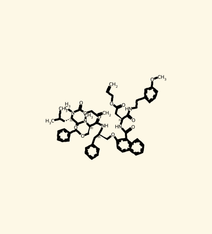 C=CCOC(=O)C[C@H](NC(=O)c1c(OC[C@@H](Cc2ccccc2)NC(=O)[C@@H](COCc2ccccc2)N(C)C(=O)[C@H](CC(C)C)N(C)C(=O)OCC=C)ccc2ccccc12)C(=O)NCCc1cccc(OC)c1